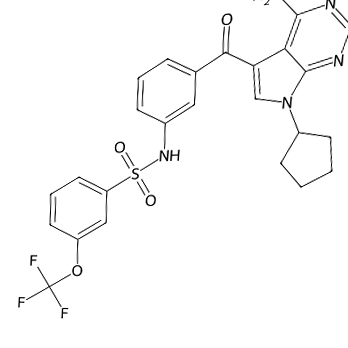 Nc1ncnc2c1c(C(=O)c1cccc(NS(=O)(=O)c3cccc(OC(F)(F)F)c3)c1)cn2C1CCCC1